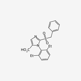 CCc1cccc(CC)c1-n1c(C(=O)O)cnc1S(=O)(=O)Cc1ccccc1